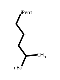 CCCCC(C)C[CH]CC(C)CCC